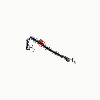 CCCCC/C=C\C/C=C\CCCCCCCC(=O)OC(=O)CCCCCCCCCCCCCCCCCCCCCCC